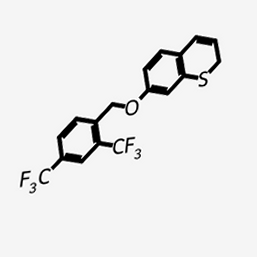 FC(F)(F)c1ccc(COc2ccc3c(c2)SCC=C3)c(C(F)(F)F)c1